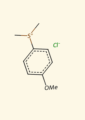 COc1ccc([S+](C)C)cc1.[Cl-]